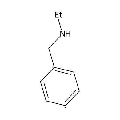 CCNCc1cc[c]cc1